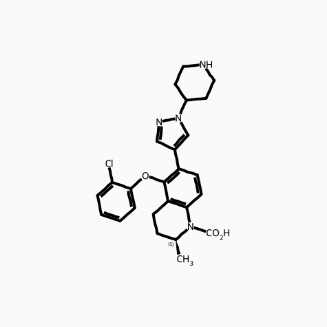 C[C@H]1CCc2c(ccc(-c3cnn(C4CCNCC4)c3)c2Oc2ccccc2Cl)N1C(=O)O